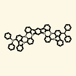 c1ccc(C(c2ccccc2)c2ccc3c4c2c2ccccc2n4-c2cccc4c2B3c2cccc3c5cc6c7cccc8c7n(c6cc5n-4c23)-c2cccc3c2B8c2ccc(N(c4ccccc4)c4ccccc4)c4c5ccccc5n-3c24)cc1